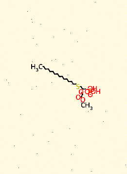 CCCCCCCCCCCCCCCCSCC(COP(=O)(O)O)OCC(=O)OCC